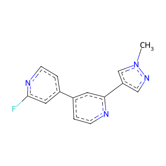 Cn1cc(-c2cc(-c3ccnc(F)c3)ccn2)cn1